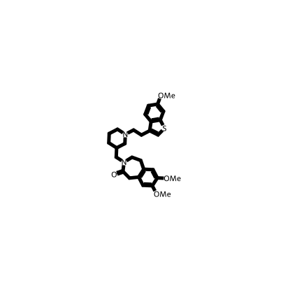 COc1ccc2c(CCN3CCCC(CN4CCc5cc(OC)c(OC)cc5CC4=O)C3)csc2c1